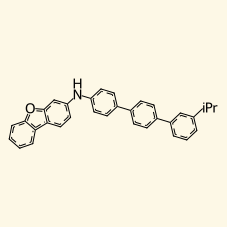 CC(C)c1cccc(-c2ccc(-c3ccc(Nc4ccc5c(c4)oc4ccccc45)cc3)cc2)c1